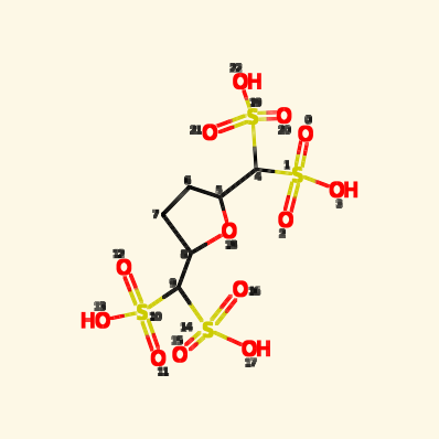 O=S(=O)(O)C(C1CCC(C(S(=O)(=O)O)S(=O)(=O)O)O1)S(=O)(=O)O